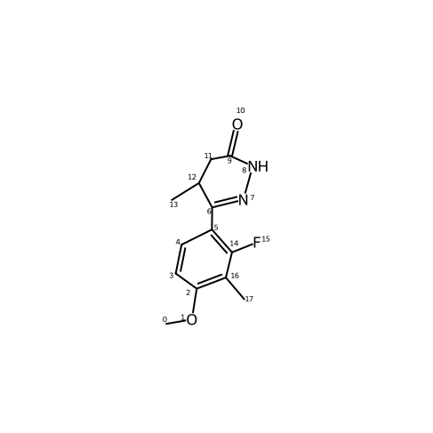 COc1ccc(C2=NNC(=O)CC2C)c(F)c1C